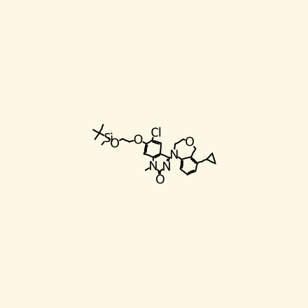 Cn1c(=O)nc(N2CCOCc3c(C4CC4)cccc32)c2cc(Cl)c(OCCO[Si](C)(C)C(C)(C)C)cc21